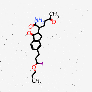 CCCOC(I)CCc1ccc2c(c1)CC(C(CCC(C)=O)C(N)=O)C2=O